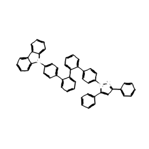 c1ccc(-c2cc(-c3ccccc3)n(-c3ccc(-c4ccccc4-c4ccccc4-c4ccc(-n5c6ccccc6c6ccccc65)cc4)cc3)n2)cc1